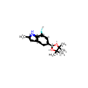 Cc1cc2cc(B3OC(C)(C)C(C)(C)O3)cc(F)c2[nH]1